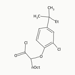 CCCCCCCCC(Oc1ccc(C(C)(C)CC)cc1Cl)C(=O)Cl